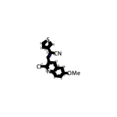 COc1ccc2nc(Cl)c(/C=C(\C#N)c3ccsc3)cc2c1